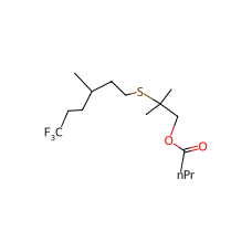 CCCC(=O)OCC(C)(C)SCCC(C)CCC(F)(F)F